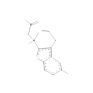 CC1(CC(=O)O)OCCc2c1[nH]c1ccc(O)cc21